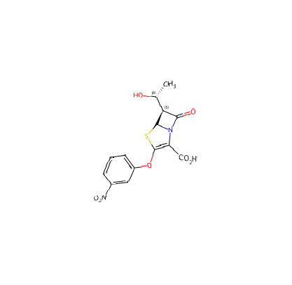 C[C@@H](O)[C@H]1C(=O)N2C(C(=O)O)=C(Oc3cccc([N+](=O)[O-])c3)SC12